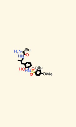 CCCCc1cc(OC)ccc1S(=O)(=O)Nc1cccc(CC(C)CNC(=O)[C@H](N)[C@@H](C)CC)c1O